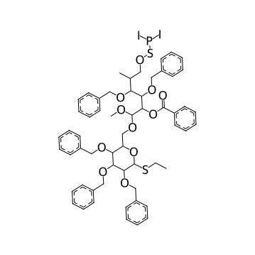 CCSC1OC(COC(OC)C(OC(=O)c2ccccc2)C(OCc2ccccc2)C(OCc2ccccc2)C(C)COSP(I)I)C(OCc2ccccc2)C(OCc2ccccc2)C1OCc1ccccc1